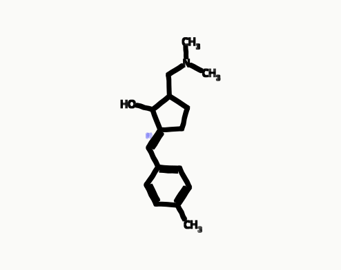 Cc1ccc(/C=C2\CCC(CN(C)C)C2O)cc1